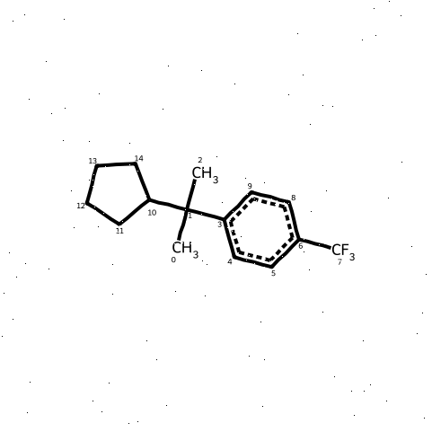 CC(C)(c1ccc(C(F)(F)F)cc1)C1CCCC1